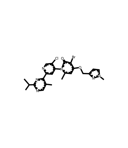 Cc1cnc(C(C)C)nc1-c1cc(-n2c(C)cc(OCc3ccn(C)n3)c(Br)c2=O)c(Cl)cn1